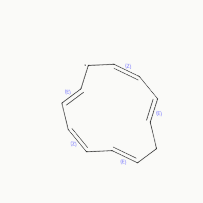 [CH]1/C=C\C=C\C/C=C/C=C\C=C\1